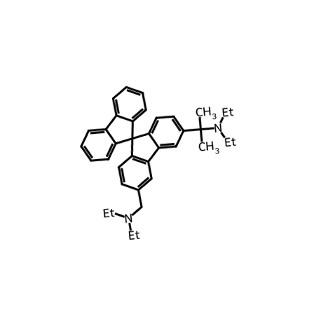 CCN(CC)Cc1ccc2c(c1)-c1cc(C(C)(C)N(CC)CC)ccc1C21c2ccccc2-c2ccccc21